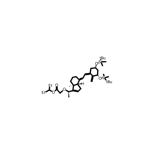 C=C1C(=CC=C2CCC[C@]3(C)C([C@@H](C)OCC(=O)OC(CC)CC)=CC[C@@H]23)C[C@@H](O[Si](C)(C)C(C)(C)C)C[C@@H]1O[Si](C)(C)C(C)(C)C